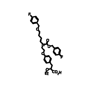 CCOC(Cc1ccc(OCCN(CCCCOCc2ccc(F)cc2)C(=O)OCc2ccc(F)cc2)cc1)C(=O)O